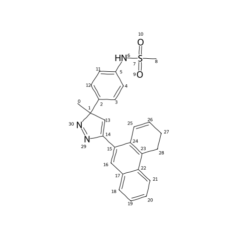 CC1(c2ccc(NS(C)(=O)=O)cc2)C=C(c2cc3ccccc3c3c2C=CCC3)N=N1